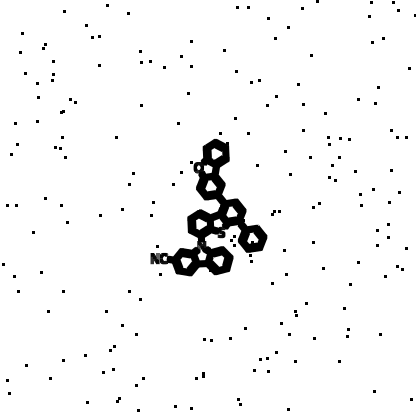 N#Cc1ccc2c3ccccc3n(-c3cccc4c3sc3c(-c5ccccc5)ccc(-c5ccc6oc7ccccc7c6c5)c34)c2c1